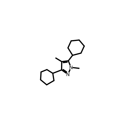 Cc1c(C2CCCCC2)nn(C)c1C1CCCCC1